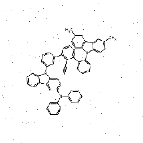 Cc1ccc2c(c1)c1cc(C)ccc1n2-c1ccccc1-c1cccc(-c2cccc(-n3c4ccccc4c4cc(N(c5ccccc5)c5ccccc5)ccc43)c2)c1C#N